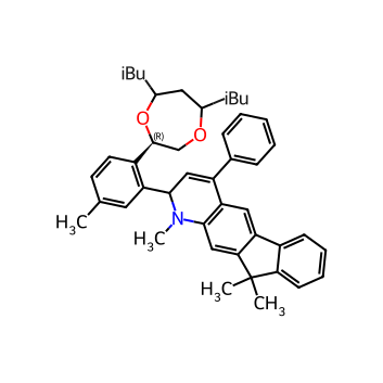 CCC(C)C1CC(C(C)CC)O[C@H](c2ccc(C)cc2C2C=C(c3ccccc3)c3cc4c(cc3N2C)C(C)(C)c2ccccc2-4)CO1